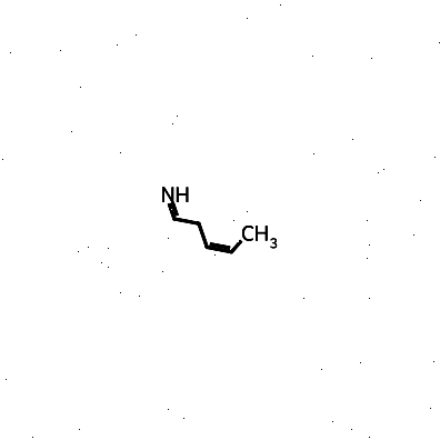 C/C=C\CC=N